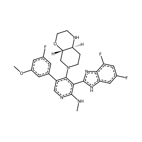 CNc1ncc(-c2cc(F)cc(OC)c2)c(N2CC[C@@H]3NCCO[C@H]3C2)c1-c1nc2c(F)cc(F)cc2[nH]1